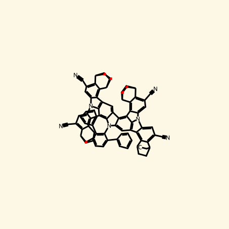 N#Cc1cc2c(c3c1C1CCC3CC1)c1cc3c(c4cc5c6c7c(c(C#N)cc6n6c8cc(C#N)c9c(c8c(c4n3-c3c(-c4ccccc4)cccc3-c3ccccc3)c56)C3CCC9CC3)C3CCC7CC3)c3c4c5c(c(C#N)cc4n2c13)C1CCC5CC1